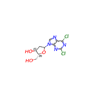 OC[C@H]1OC(n2cnc3c(Cl)nc(Cl)nc32)C[C@@H]1O